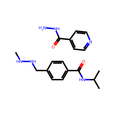 CNNCc1ccc(C(=O)NC(C)C)cc1.NNC(=O)c1ccncc1